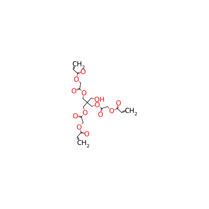 C=CC(=O)OCC(=O)OCC(CO)(COC(=O)COC(=O)C=C)COC(=O)COC(=O)C=C